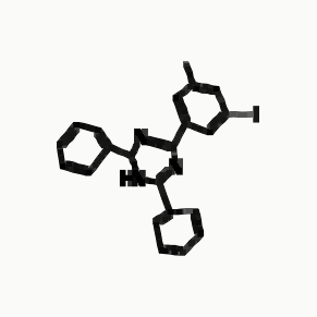 Cc1cc(I)cc(C2=NC(c3ccccc3)NC(c3ccccc3)=N2)c1